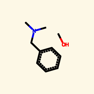 CN(C)Cc1ccccc1.CO